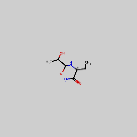 CC[C@H](NC(O)C(C)O)C(N)=O